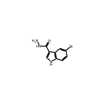 NNC(=O)c1c[nH]c2ccc(Br)cc12